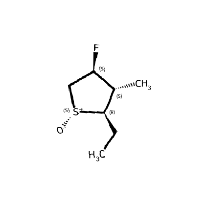 CC[C@@H]1[C@@H](C)[C@H](F)C[S@@+]1[O-]